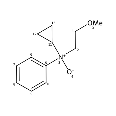 COCC[N+]([O-])(c1ccccc1)C1CC1